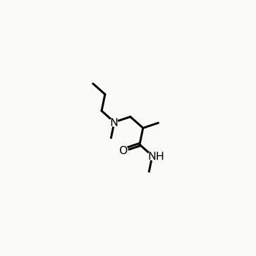 CCCN(C)CC(C)C(=O)NC